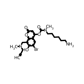 C#CCN(C)Cc1c(O)c(Br)cc2c(OC(=O)N(C)CCCCCCN)cc(=O)oc12